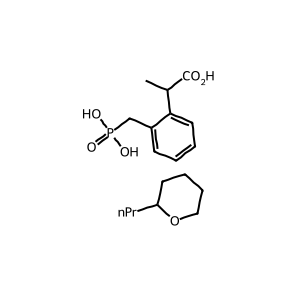 CC(C(=O)O)c1ccccc1CP(=O)(O)O.CCCC1CCCCO1